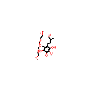 COCCOCOCOCCOC.COc1c(O)c(C)c(CC=C(C)CO)c(O)c1OC